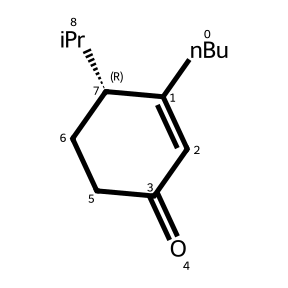 CCCCC1=CC(=O)CC[C@@H]1C(C)C